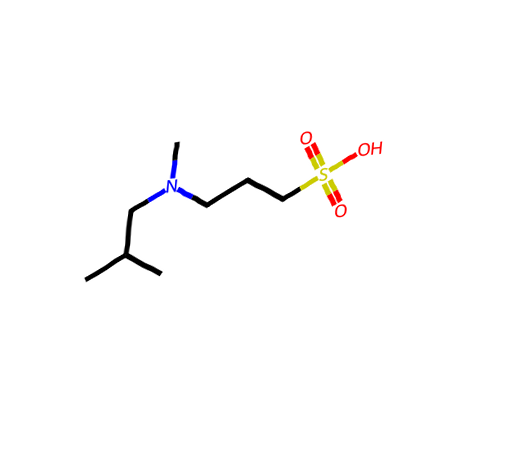 CC(C)CN(C)CCCS(=O)(=O)O